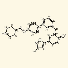 Cc1cc(-c2ccc(=O)n(Cc3cccc(-c4ncc(OCC5CCNCC5)cn4)c3)c2)on1